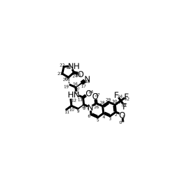 COc1cc2ccn([C@@H](CC(C)C)C(=O)N[C@H](C#N)C[C@@H]3CCNC3=O)c(=O)c2cc1C(F)(F)F